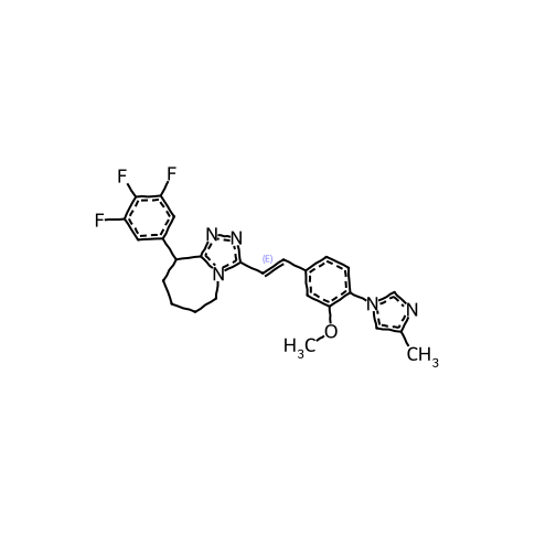 COc1cc(/C=C/c2nnc3n2CCCCC3c2cc(F)c(F)c(F)c2)ccc1-n1cnc(C)c1